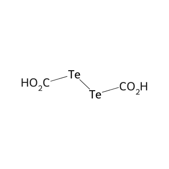 O=C(O)[Te][Te]C(=O)O